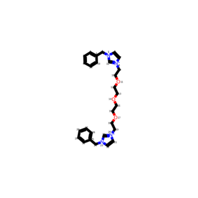 c1ccc(Cn2cc[n+](CCOCCOCCOCC[n+]3ccn(Cc4ccccc4)c3)c2)cc1